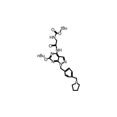 CCCCOc1nc(NC(=O)CNC(=O)OC(C)(C)C)c2cnn(Cc3ccc(CN4CCCC4)cc3)c2n1